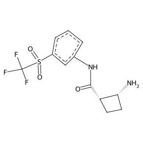 N[C@@H]1CC[C@@H]1C(=O)Nc1cccc(S(=O)(=O)C(F)(F)F)c1